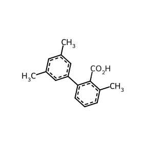 Cc1cc(C)cc(-c2cccc(C)c2C(=O)O)c1